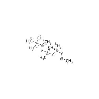 CSCC(C)CC(C)(C)CC(C)C(C)(C)C